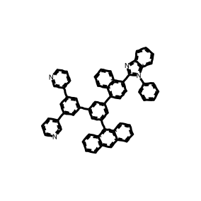 c1ccc(-n2c(-c3ccc(-c4cc(-c5cc(-c6cccnc6)cc(-c6cccnc6)c5)cc(-c5c6ccccc6cc6ccccc56)c4)c4ccccc34)nc3ccccc32)cc1